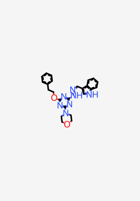 C(=N/Nc1nc(OCCc2ccccc2)nc(N2CCOCC2)n1)/c1c[nH]c2ccccc12